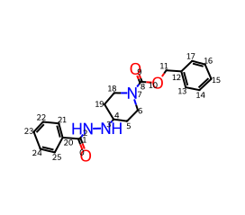 O=C(NNC1CCN(C(=O)OCc2ccccc2)CC1)c1ccccc1